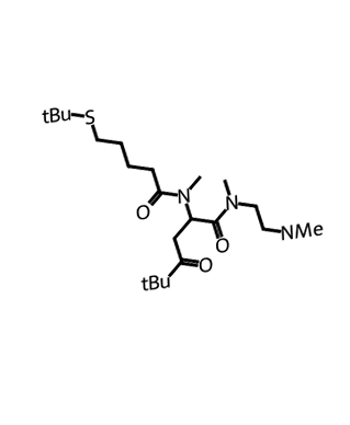 CNCCN(C)C(=O)C(CC(=O)C(C)(C)C)N(C)C(=O)CCCCSC(C)(C)C